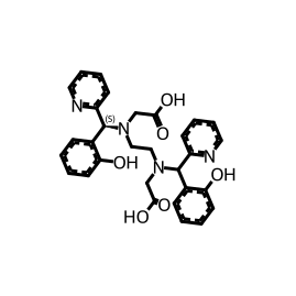 O=C(O)CN(CCN(CC(=O)O)[C@H](c1ccccn1)c1ccccc1O)C(c1ccccn1)c1ccccc1O